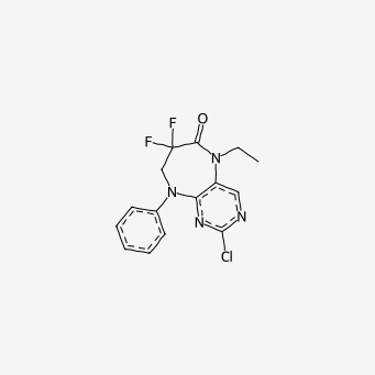 CCN1C(=O)C(F)(F)CN(c2ccccc2)c2nc(Cl)ncc21